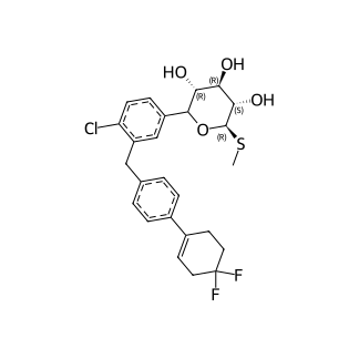 CS[C@H]1OC(c2ccc(Cl)c(Cc3ccc(C4=CCC(F)(F)CC4)cc3)c2)[C@H](O)[C@@H](O)[C@@H]1O